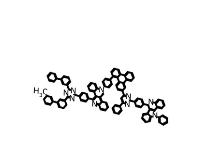 CC1C=C(C2=CCCC(c3nc(-c4ccc(-c5nc6ccccc6c6c5-c5ccccc5N(c5ccc(-c7cccc8c9ccccc9c9cc(-c%10cc(-c%11ccccc%11)nc(-c%11ccc(-c%12nc%13ccccc%13c%13c%12c%12ccccc%12n%13-c%12ccccc%12)cc%11)n%10)ccc9c78)cc5)C6)cc4)nc(-c4cccc(-c5ccccc5)c4)n3)=C2)C=CC1